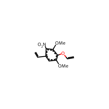 C=COc1c(OC)cc(C=C)c([N+](=O)[O-])c1OC